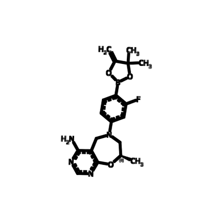 C=C1OB(c2ccc(N3Cc4c(N)ncnc4O[C@H](C)C3)cc2F)OC1(C)C